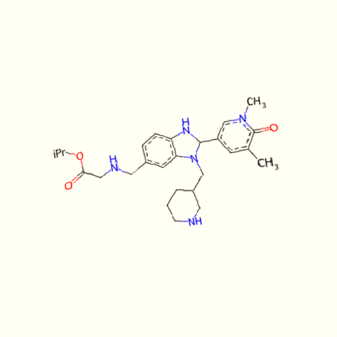 Cc1cc(C2Nc3ccc(CNCC(=O)OC(C)C)cc3N2CC2CCCNC2)cn(C)c1=O